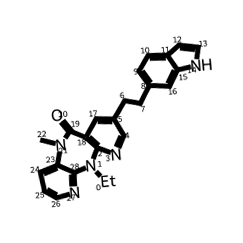 CCN1c2ncc(CCc3ccc4cc[nH]c4c3)cc2C(=O)N(C)c2cccnc21